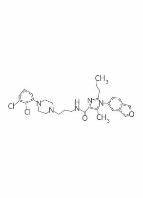 CCCc1nc(C(=O)NCCCN2CCN(c3cccc(Cl)c3Cl)CC2)c(C)n1-c1ccc2cocc2c1